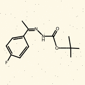 C/C(=N/NC(=O)OC(C)(C)C)c1ccc(F)cc1